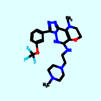 CN1CCN(CCNC2Nn3c(nnc3-c3cccc(OC(F)(F)F)c3)C3=C2OCCN3C)CC1